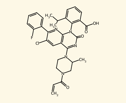 C=CC(=O)N1CCN(c2nc(=O)n(-c3c(C(=O)O)cccc3C(C)C)c3nc(-c4ccccc4F)c(Cl)cc23)C(C)C1